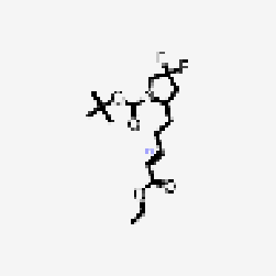 CCOC(=O)/C=C/CCC1CC(F)(F)CN1C(=O)OC(C)(C)C